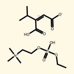 CC(C)/C(=C/C(=O)[O-])C(=O)O.CCOP(=O)(O)OCC[N+](C)(C)C